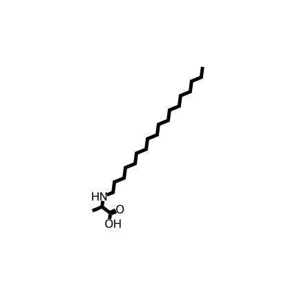 CCCCCCCCCCCCCCCCCCNC(C)C(=O)O